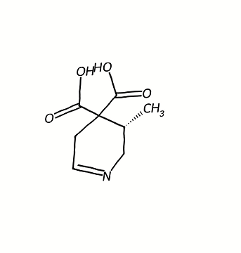 C[C@@H]1CN=CCC1(C(=O)O)C(=O)O